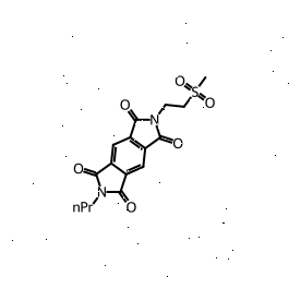 CCCn1c(=O)c2cc3c(=O)n(CCS(C)(=O)=O)c(=O)c3cc2c1=O